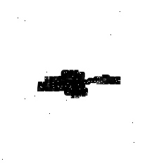 CCCCCCCCCCCCCCCNC(=O)N[C@H]1C[C@H](COC)C(OP(=O)(O)OC)[C@@H]1OC